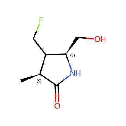 C[C@@H]1C(=O)N[C@H](CO)C1CF